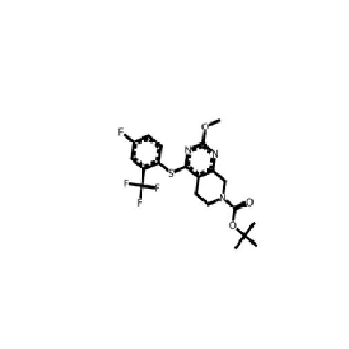 COc1nc2c(c(Sc3ccc(F)cc3C(F)(F)F)n1)CCN(C(=O)OC(C)(C)C)C2